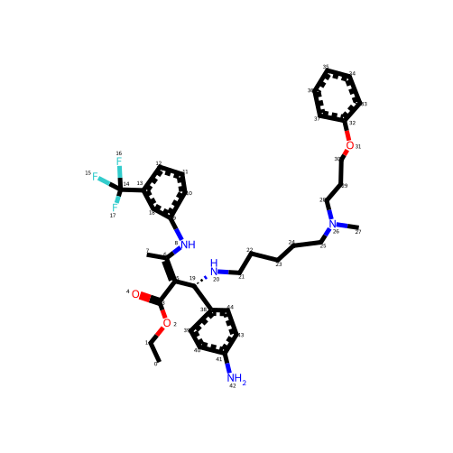 CCOC(=O)/C(=C(\C)Nc1cccc(C(F)(F)F)c1)[C@H](NCCCCCN(C)CCCOc1ccccc1)c1ccc(N)cc1